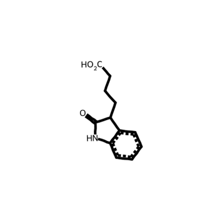 O=C(O)CCCC1C(=O)Nc2ccccc21